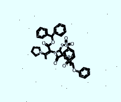 C/C(=C(/C(=O)OC(c1ccccc1)c1ccccc1)N1C(=O)C(NC(=O)COc2ccccc2)C1SS(=O)(=O)c1ccc(C)cc1)N1CCCC1